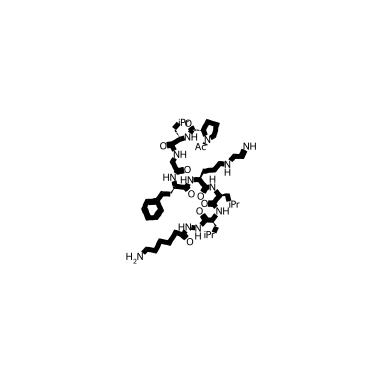 CC(=O)N1CCC[C@H]1C(=O)N[C@@H](CC(C)C)C(=O)NCC(=O)N[C@@H](CCc1ccccc1)C(=O)N[C@@H](CCCNCC=N)C(=O)N[C@@H](CC(C)C)C(=O)N[C@H](CC(C)C)C(=O)NNC(=O)CCCCCN